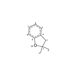 CC1(C)Cc2cc[c]cc2O1